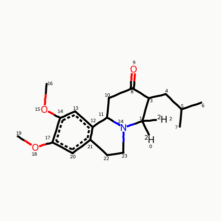 [2H]C1([2H])C(CC(C)C)C(=O)CC2c3cc(OC)c(OC)cc3CCN21